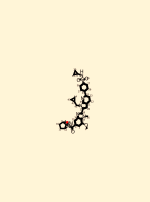 COc1cc(C(=O)N2CC3CCC2[C@@H]3N)cc2nc(-c3cc4ccc(-c5ccc(S(=O)(=O)NC6CC6)cc5)nc4n3CC3CC3)n(C)c12